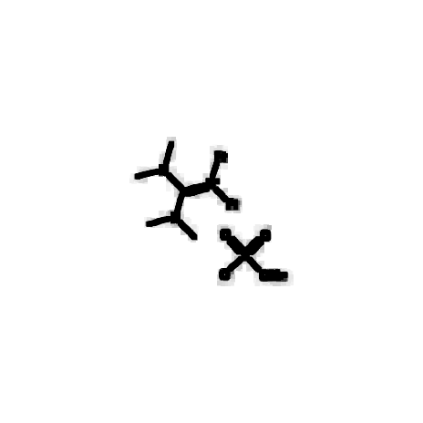 CC[N+](CC)=C(N(C)C)N(C)C.COS(=O)(=O)[O-]